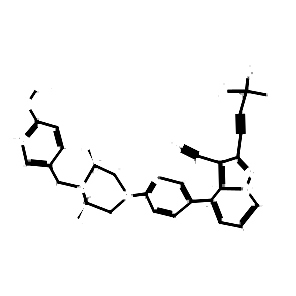 COc1ccc(CN2[C@H](C)CN(c3ccc(-c4cccn5nc(C#CC(C)(C)O)c(C#N)c45)cn3)C[C@@H]2C)cn1